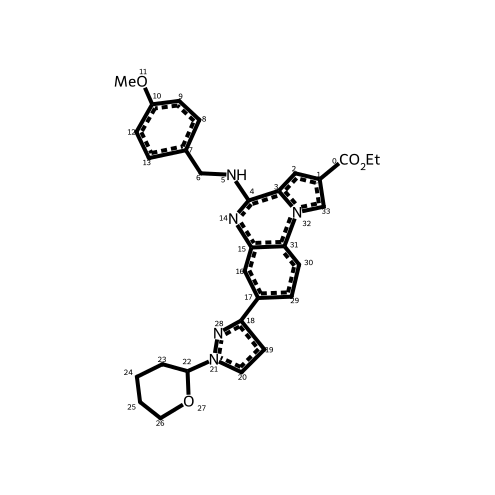 CCOC(=O)c1cc2c(NCc3ccc(OC)cc3)nc3cc(-c4ccn(C5CCCCO5)n4)ccc3n2c1